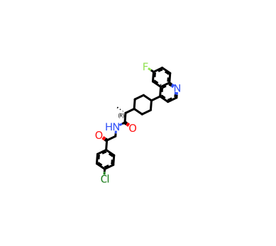 C[C@@H](C(=O)NCC(=O)c1ccc(Cl)cc1)C1CCC(c2ccnc3ccc(F)cc23)CC1